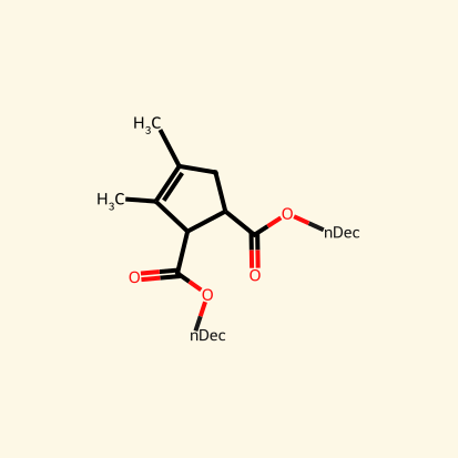 CCCCCCCCCCOC(=O)C1CC(C)=C(C)C1C(=O)OCCCCCCCCCC